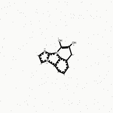 OC1=C(O)n2c3c(cccc3n3ccnc23)C1